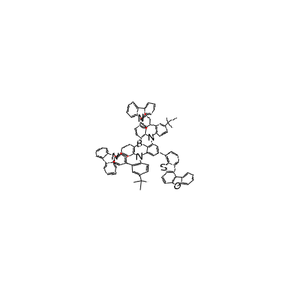 CC(C)(C)c1ccc(N2c3cc(-n4c5ccccc5c5ccccc54)ccc3B3c4ccc(-n5c6ccccc6c6ccccc65)cc4N(c4ccc(C(C)(C)C)cc4-c4ccccc4)c4cc(-c5cccc6c5sc5ccc7oc8ccccc8c7c56)cc2c43)c(-c2ccccc2)c1